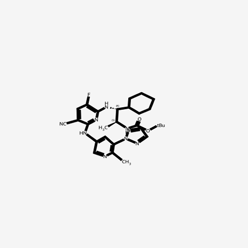 Cc1ncc(Nc2nc(N[C@H](C3CCCCC3)[C@H](C)NC(=O)OC(C)(C)C)c(F)cc2C#N)cc1-n1nccn1